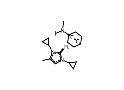 Cc1cn(C2CC2)[c](=[Pt])n1C1CC1.IN(I)C12CCC(CC1)CC2